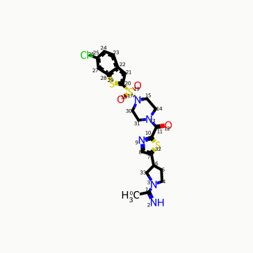 CC(=N)N1CCC(c2cnc(C(=O)N3CCN(S(=O)(=O)c4cc5ccc(Cl)cc5s4)CC3)s2)C1